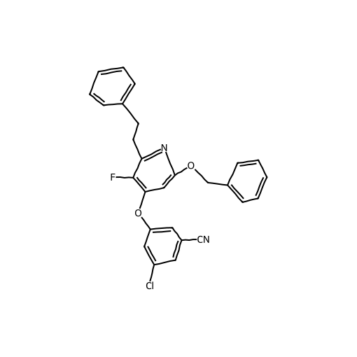 N#Cc1cc(Cl)cc(Oc2cc(OCc3ccccc3)nc(CCc3ccccc3)c2F)c1